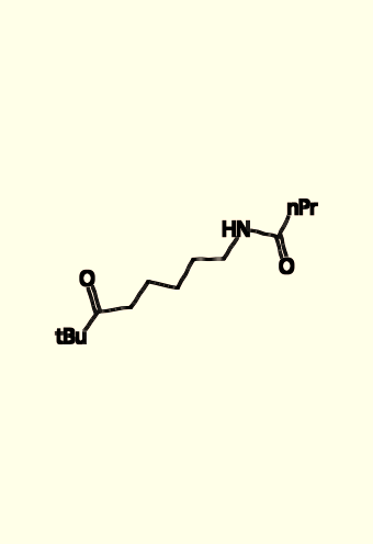 CCCC(=O)NCCCCCC(=O)C(C)(C)C